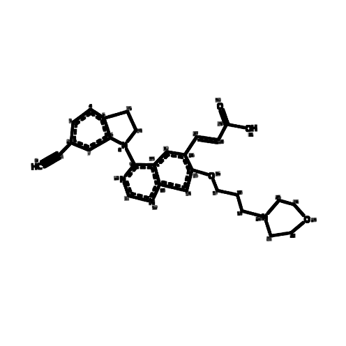 C#Cc1ccc2c(c1)N(c1ncnc3cc(OCCCN4CCOCC4)c(C=CC(=O)O)cc13)CC2